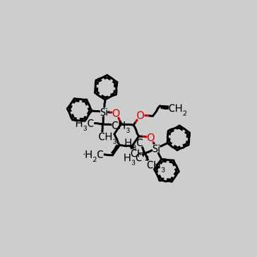 [CH2]C=C1CC(O[Si](c2ccccc2)(c2ccccc2)C(C)(C)C)C(OCC=C)C(O[Si](c2ccccc2)(c2ccccc2)C(C)(C)C)C1=C